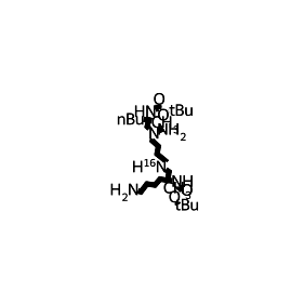 CCCCC(C)(CN(N)CCCC[16NH]CC(C)(CCCCN)NC(=O)OC(C)(C)C)NC(=O)OC(C)(C)C